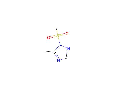 Cc1n[c]nn1S(C)(=O)=O